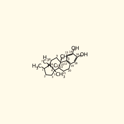 CC1CC[C@]2(C)C1(C)CC[C@]1(C)c3cc(O)c(O)cc3CC[C@]12C